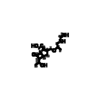 CC(CNC=N)OCC1=C(C(=O)O)N2C(=O)C(C(C)O)C2C1